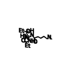 CCC(=O)[NH][Al]([NH]C(=O)CC)[NH]C(=O)CCCCN(C)C